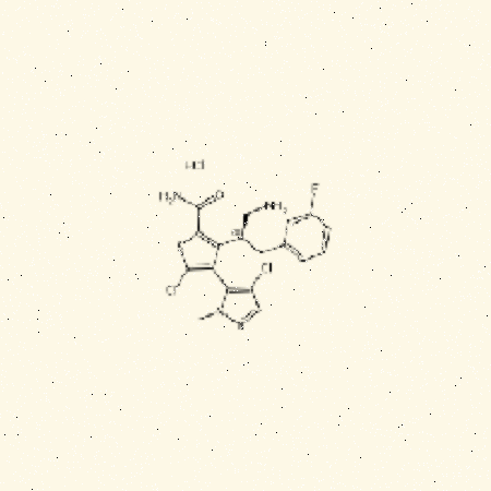 Cl.Cn1ncc(Cl)c1-c1c(Cl)sc(C(N)=O)c1[C@@H](CN)Cc1cccc(F)c1